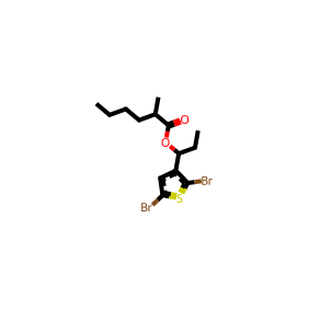 CCCCC(C)C(=O)OC(CC)c1cc(Br)sc1Br